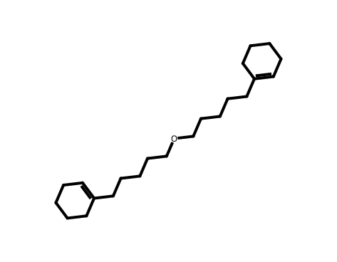 C1=C(CCCCCOCCCCCC2=CCCCC2)CCCC1